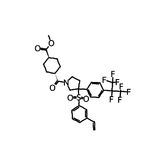 C=Cc1cccc(S(=O)(=O)C2(c3ccc(C(F)(C(F)(F)F)C(F)(F)F)cc3)CCN(C(=O)[C@H]3CC[C@H](C(=O)OC)CC3)C2)c1